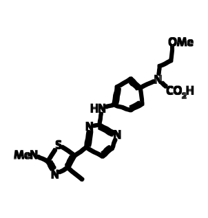 CNc1nc(C)c(-c2ccnc(Nc3ccc(N(CCOC)C(=O)O)cc3)n2)s1